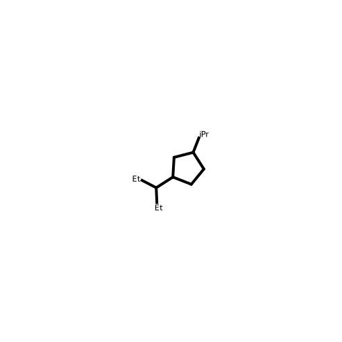 CCC(CC)C1CCC(C(C)C)C1